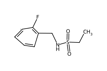 CCS(=O)(=O)NCc1ccc[c]c1F